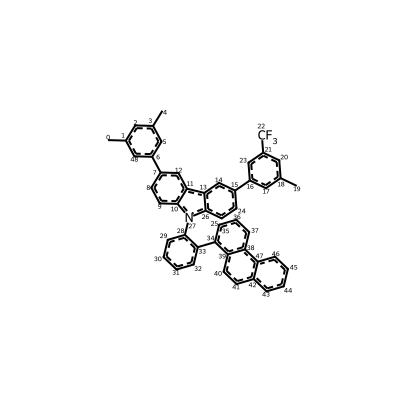 Cc1cc(C)cc(-c2ccc3c(c2)c2cc(-c4cc(C)cc(C(F)(F)F)c4)ccc2n3-c2ccccc2-c2cccc3c2ccc2ccccc23)c1